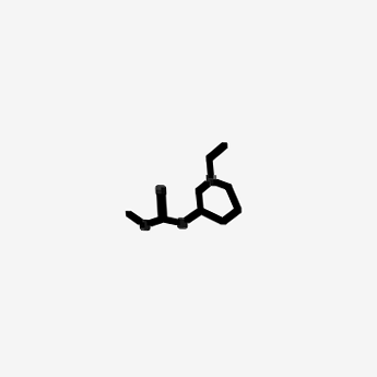 CCN1CCCC(OC(=O)OC)C1